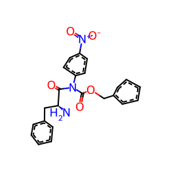 N[C@@H](Cc1ccccc1)C(=O)N(C(=O)OCc1ccccc1)c1ccc([N+](=O)[O-])cc1